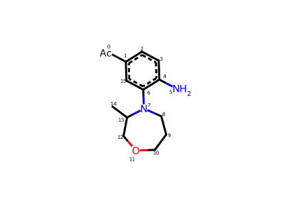 CC(=O)c1ccc(N)c(N2CCCOCC2C)c1